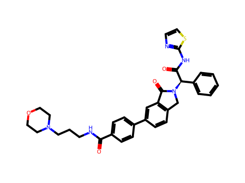 O=C(NCCCN1CCOCC1)c1ccc(-c2ccc3c(c2)C(=O)N([C@@H](C(=O)Nc2nccs2)c2ccccc2)C3)cc1